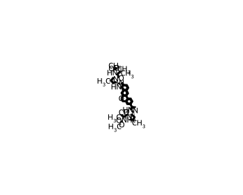 COC(=O)NC(C(=O)N1C[C@@H](C)C[C@H]1c1nc2ccc3cc4c(cc3c2[nH]1)OCc1cc(-c2cnc([C@@H]3C[C@H](C)CN3C(=O)[C@@H](NC(=O)OC)C(C)C)[nH]2)ccc1-4)C(C)C